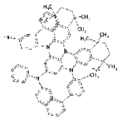 Cc1ccc(-c2ccccc2)cc1N1c2cc3c(cc2B2c4cc5c(cc4N(c4ccc(C(C)(C)C)cc4-c4ccccc4)c4cc(N(c6ccccc6)c6ccccc6)cc1c42)C(C)(C)CCC5(C)C)C(C)(C)CCC3(C)C